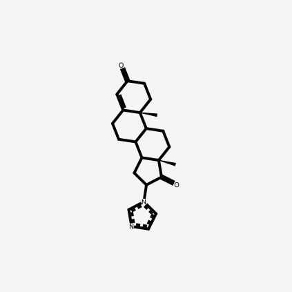 C[C@]12CCC(=O)C=C1CCC1C2CC[C@]2(C)C(=O)C(n3ccnc3)CC12